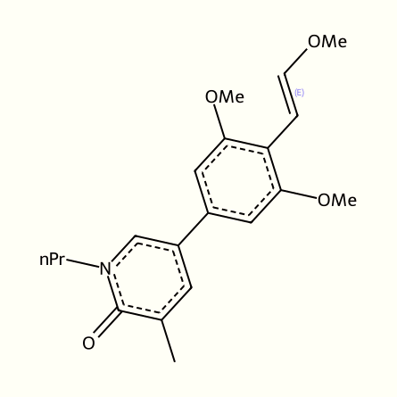 CCCn1cc(-c2cc(OC)c(/C=C/OC)c(OC)c2)cc(C)c1=O